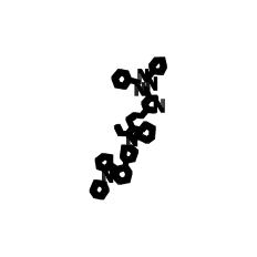 C=Cc1c(/C=C\Cc2cncc(-c3nc(-c4ccccc4)nc(-c4ccccc4)n3)c2)c2ccccc2n1-c1ccc(-c2cccc3c2c2ccccc2n3-c2ccccc2)cc1